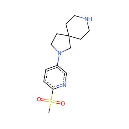 CS(=O)(=O)c1ccc(N2CCC3(CCNCC3)C2)cn1